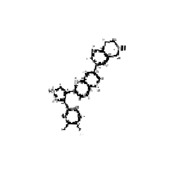 Cc1nc(-c2n[nH]cc2-c2ccc3ncc(-c4cc5c(nn4)CCNC5)cc3n2)ccc1F